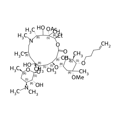 C=CCCCO[C@H]1[C@H](C)O[C@@H](O[C@H]2[C@H](C)[C@@H](O[C@@H]3O[C@H](C)C[C@H](N(C)C)[C@H]3O)[C@](C)(O)C[C@@H](C)CN(C)[C@H](C)C(O)[C@](C)(OC(C)=O)[C@@H](CC)OC(=O)[C@@H]2C)C[C@@]1(C)OC